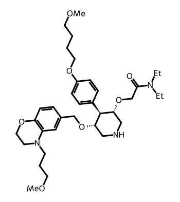 CCN(CC)C(=O)CO[C@@H]1CNC[C@H](OCc2ccc3c(c2)N(CCCOC)CCO3)[C@H]1c1ccc(OCCCCOC)cc1